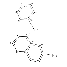 Fc1ccc2ncnc(Sc3ccccc3)c2c1